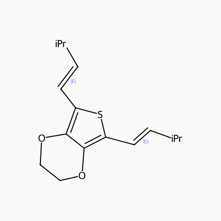 CC(C)/C=C/c1sc(/C=C/C(C)C)c2c1OCCO2